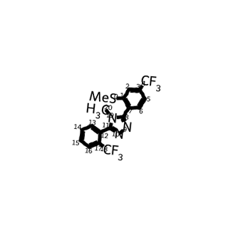 CSc1cc(C(F)(F)F)ccc1-c1nnc(-c2ccccc2C(F)(F)F)n1C